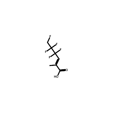 C/C(=C\C(F)(F)C(F)(F)CF)C(=O)O